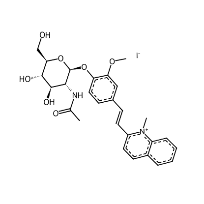 COc1cc(C=Cc2ccc3ccccc3[n+]2C)ccc1O[C@@H]1O[C@H](CO)[C@@H](O)[C@H](O)[C@H]1NC(C)=O.[I-]